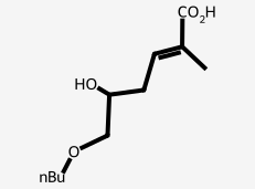 CCCCOCC(O)CC=C(C)C(=O)O